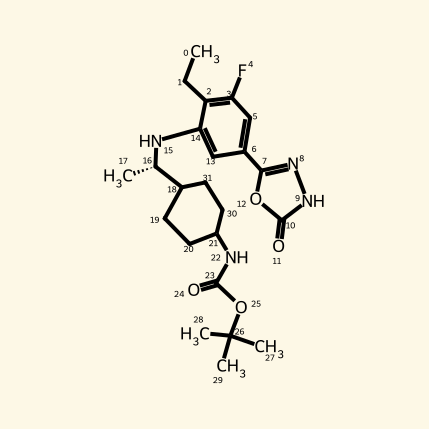 CCc1c(F)cc(-c2n[nH]c(=O)o2)cc1N[C@@H](C)C1CCC(NC(=O)OC(C)(C)C)CC1